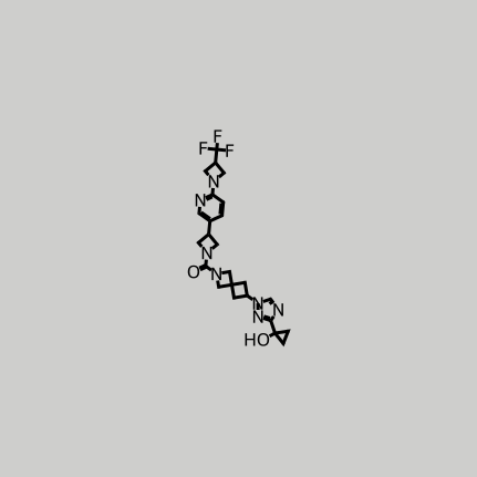 O=C(N1CC(c2ccc(N3CC(C(F)(F)F)C3)nc2)C1)N1CC2(CC(n3cnc(C4(O)CC4)n3)C2)C1